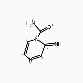 N=c1cnccn1C(N)=O